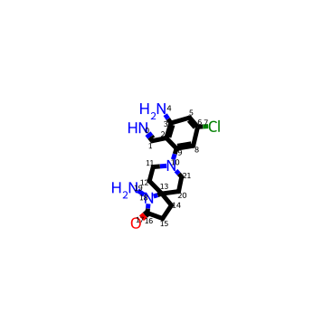 N=Cc1c(N)cc(Cl)cc1N1CCC2(CCC(=O)N2N)CC1